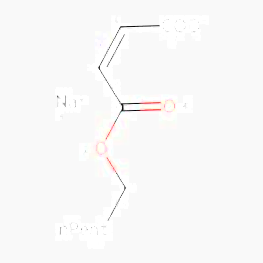 CCCCCCOC(=O)/C=C\C(=O)[O-].[Na+]